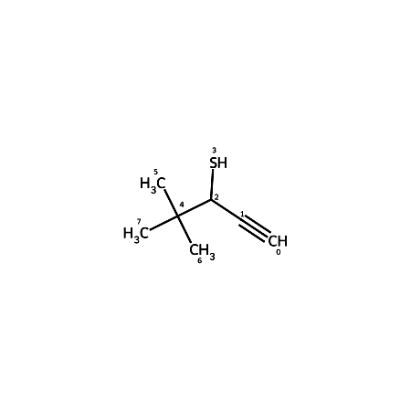 C#CC(S)C(C)(C)C